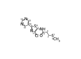 CSCCC(=O)Nc1sc(-c2cncnc2)nc1Cl